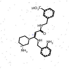 Nc1ccccc1CN/C(=C\C(=O)NCc1cccc(C(=O)O)c1)N1CCC[C@@H](N)C1